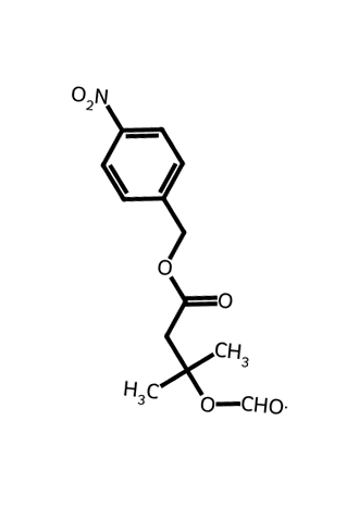 CC(C)(CC(=O)OCc1ccc([N+](=O)[O-])cc1)O[C]=O